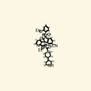 CCOc1ccccc1S(=O)(=O)N1C(=O)[C@](c2cccnc2OCC)(C(C)(C)NC(=O)N2CCC(C3CCNCC3)CC2)c2cc(C#N)ccc21